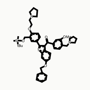 COc1cc(C(=O)c2c(-c3ccc(OCCN4CCCC4)c(CO[Si](C)(C)C(C)(C)C)c3)sc3cc(OCc4ccccc4)ccc23)ccc1CN1CCCC1